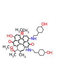 COc1c2c3c4c(c(NCCC5CCC(O)CC5)c(=O)c5c(NCCC6CCC(O)CC6)cc(OC)c(c6c(OC)cc(O)c(c1=O)c63)c54)C=C(C)C2C(C)=O